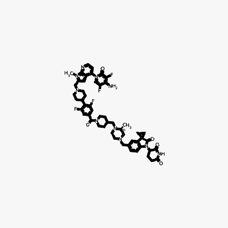 C[C@H]1CN(Cc2ccc3c(c2)C2(CC2)C(=O)N3C2CCC(=O)NC2=O)CCN1CC1CCN(C(=O)c2cc(F)c(C3CCN(Cc4cc5c(-n6cc(F)c(N)c(F)c6=O)ccnc5n4C)CC3)c(F)c2)CC1